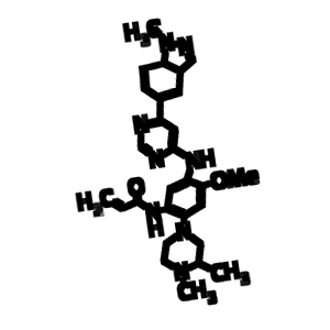 C=CC(=O)Nc1cc(Nc2cc(C3=CC4C=NN(C)C4C=C3)ncn2)c(OC)cc1N1CCN(C)C(C)C1